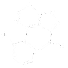 O=C(O)c1c[nH]c2ncnc(-c3ccccc3Cl)c12